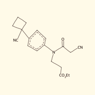 CCOC(=O)CCN(C(=O)CC#N)c1ccc(C2(C#N)CCC2)cc1